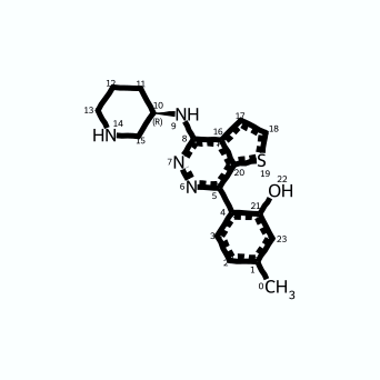 Cc1ccc(-c2nnc(N[C@@H]3CCCNC3)c3ccsc23)c(O)c1